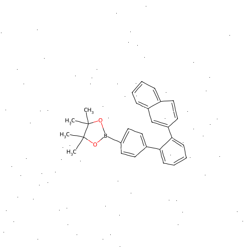 CC1(C)OB(c2ccc(-c3ccccc3-c3ccc4ccccc4c3)cc2)OC1(C)C